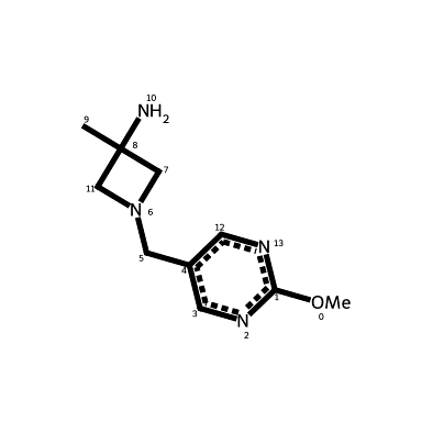 COc1ncc(CN2CC(C)(N)C2)cn1